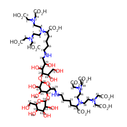 O=C(O)CN(CCN(CCN(CC(=O)O)CC(=O)O)C(CCCCNCC(O)C(O)C(OC1OC(CNCCCCC(C(=O)O)N(CCN(CC(=O)O)CC(=O)O)CCN(CC(=O)O)CC(=O)O)C(OC2OC(CO)C(O)C(O)C2O)C(O)C1O)C(O)CO)C(=O)O)CC(=O)O